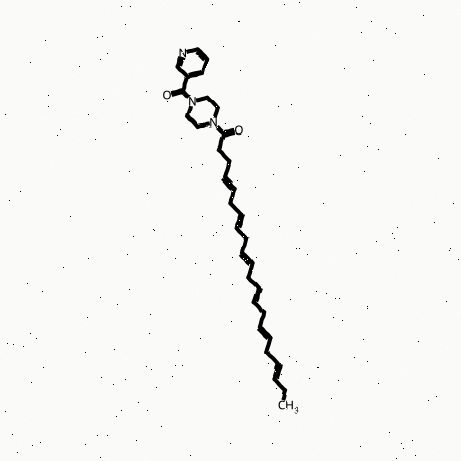 CC/C=C/C/C=C/C/C=C/C/C=C/C/C=C/C/C=C/CCC(=O)N1CCN(C(=O)c2cccnc2)CC1